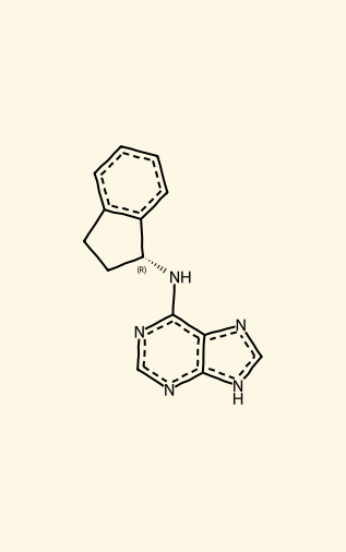 c1ccc2c(c1)CC[C@H]2Nc1ncnc2[nH]cnc12